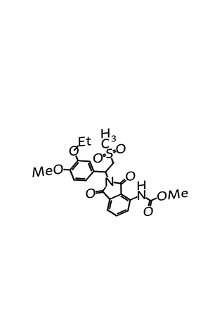 CCOc1cc(C(CS(C)(=O)=O)N2C(=O)c3cccc(NC(=O)OC)c3C2=O)ccc1OC